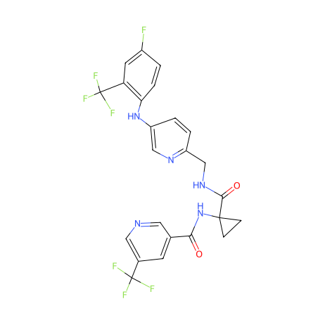 O=C(NC1(C(=O)NCc2ccc(Nc3ccc(F)cc3C(F)(F)F)cn2)CC1)c1cncc(C(F)(F)F)c1